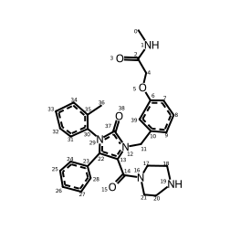 CNC(=O)COc1cccc(Cn2c(C(=O)N3CCNCC3)c(-c3ccccc3)n(-c3ccccc3C)c2=O)c1